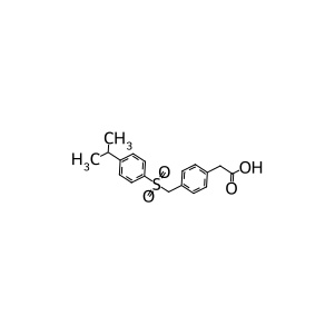 CC(C)c1ccc(S(=O)(=O)Cc2ccc(CC(=O)O)cc2)cc1